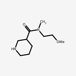 COCCN(C)C(=O)C1CCCNC1